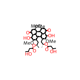 COc1c(O)c2c(=O)cc(OC)c3c4c(OC)cc(=O)c5c(O)c(OC)c(C[C@@H](C)OC(=O)CC(C)O)c(c(c1C[C@@H](C)OC(=O)CC(C)O)c23)c54